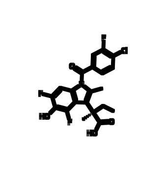 CC[C@@](C)(C(=O)O)c1c(C)n(C(=O)c2ccc(Cl)c(F)c2)c2cc(F)c(O)c(F)c12